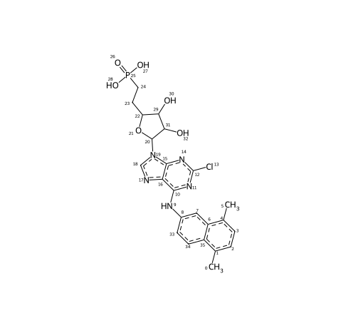 Cc1ccc(C)c2cc(Nc3nc(Cl)nc4c3ncn4C3OC(CCP(=O)(O)O)C(O)C3O)ccc12